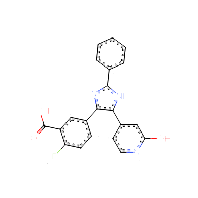 O=C(O)c1cc(-c2nc(-c3ccccc3)[nH]c2-c2ccnc(O)c2)ccc1F